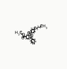 CCCCOc1ccc(S(=O)(=O)C2CC(C(=O)OCC)CCN2Cc2ccncc2)cc1